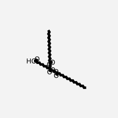 CCCCCCCCCCCCCCCCCC(=O)OCOC(=O)C(CCCCCCCC(=O)O)COC(=O)CCCCCCCCCCCCCCCCC